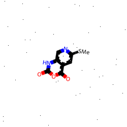 CSc1cc2c(=O)oc(=O)[nH]c2cn1